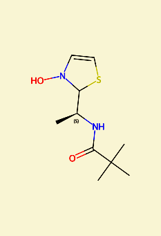 C[C@H](NC(=O)C(C)(C)C)C1SC=CN1O